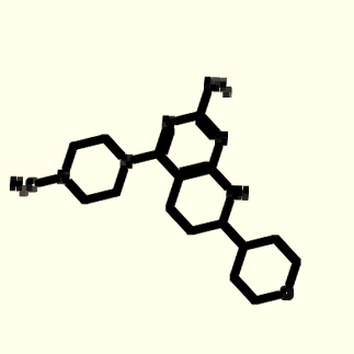 CN1CCN(c2nc(N)nc3c2CCC(C2CCOCC2)N3)CC1